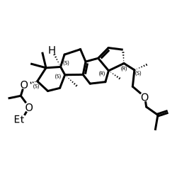 C=C(C)COC[C@@H](C)[C@H]1CC=C2C3=C(CC[C@@]21C)[C@@]1(C)CC[C@H](OC(C)OCC)C(C)(C)[C@H]1CC3